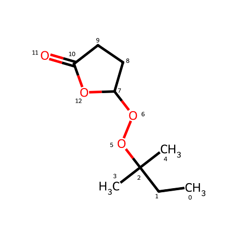 CCC(C)(C)OOC1CCC(=O)O1